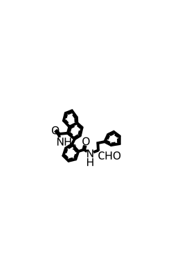 NC(=O)c1c(-c2ccccc2C(=O)NC(C=O)Cc2ccccc2)ccc2ccccc12